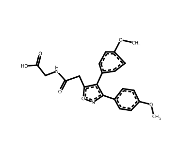 COc1ccc(-c2noc(CC(=O)NCC(=O)O)c2-c2ccc(OC)cc2)cc1